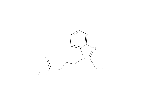 CNc1nc2ccccc2n1CCCC(=O)OC